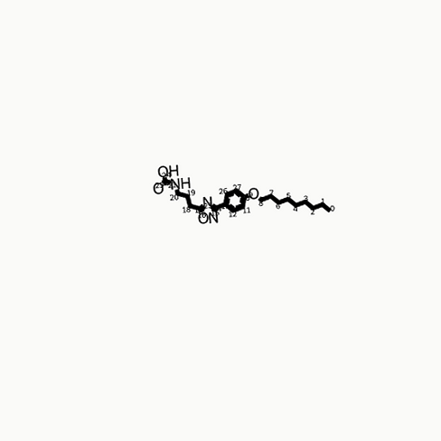 CCCCCCCCCOc1ccc(-c2noc(CCCNC(=O)O)n2)cc1